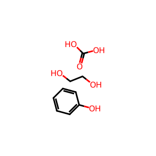 O=C(O)O.OCCO.Oc1ccccc1